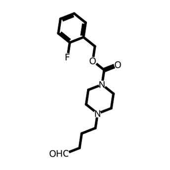 O=CCCCN1CCN(C(=O)OCc2ccccc2F)CC1